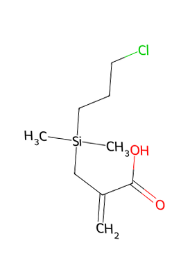 C=C(C[Si](C)(C)CCCCl)C(=O)O